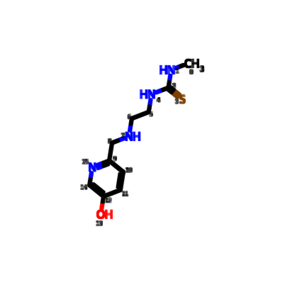 CNC(=S)NCCNCc1ccc(O)cn1